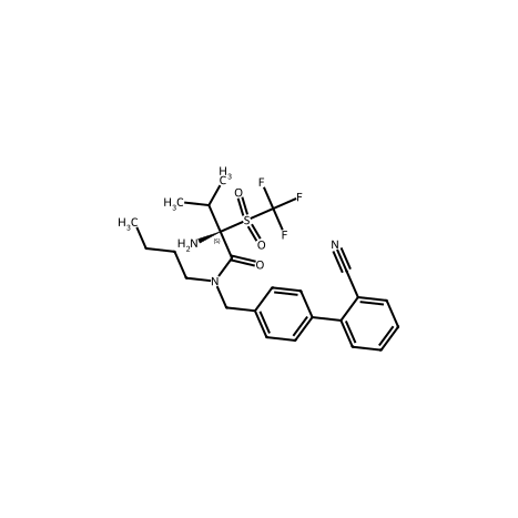 CCCCN(Cc1ccc(-c2ccccc2C#N)cc1)C(=O)[C@](N)(C(C)C)S(=O)(=O)C(F)(F)F